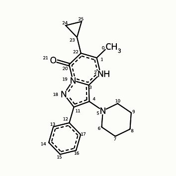 Cc1[nH]c2c(N3CCCCC3)c(-c3ccccc3)nn2c(=O)c1C1CC1